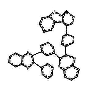 c1ccc(-c2nc3ccccc3nc2-c2cccc(-c3nc4ccccc4nc3-c3ccc(-c4cccc5oc6ccccc6c45)cc3)c2)cc1